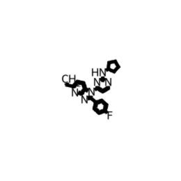 C=Cc1ccc2c(n1)nc(-c1ccc(F)cc1)n2-c1ccnc(NC2CCCC2)n1